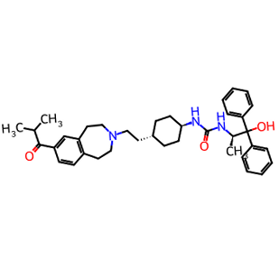 CC(C)C(=O)c1ccc2c(c1)CCN(CC[C@H]1CC[C@H](NC(=O)N[C@H](C)C(O)(c3ccccc3)c3ccccc3)CC1)CC2